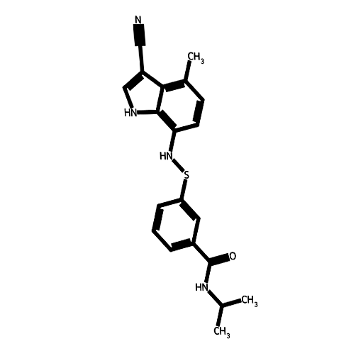 Cc1ccc(NSc2cccc(C(=O)NC(C)C)c2)c2[nH]cc(C#N)c12